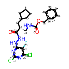 O=C(NC[C@@H](CC1CCCC1)C(=O)NNc1nc(Cl)nc(Cl)c1F)OCc1ccccc1